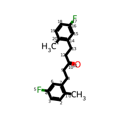 Cc1ccc(F)cc1CCC(=O)CCc1cc(F)ccc1C